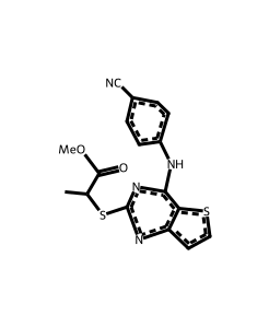 COC(=O)C(C)Sc1nc(Nc2ccc(C#N)cc2)c2sccc2n1